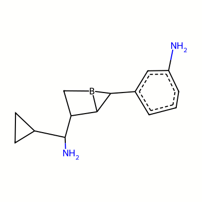 Nc1cccc(C2B3CC(C(N)C4CC4)C32)c1